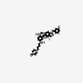 NC1(c2ccc3c(cnn3Cc3cccc(F)c3)c2)N=CNc2ccc(NCCCCN3CC[S+]([O-])CC3)cc21